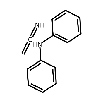 C=C=N.c1ccc(Nc2ccccc2)cc1